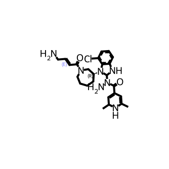 CC1=CC(C(=O)N(N)C2Nc3cccc(Cl)c3N2[C@@H]2CCCCN(C(=O)/C=C/CN)C2)=CC(C)N1